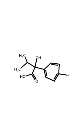 CC(C)C(O)(C(=O)O)c1ccc(F)cc1